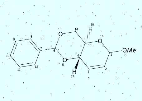 COC1C=C[C@@H]2OC(c3ccccc3)OC[C@H]2O1